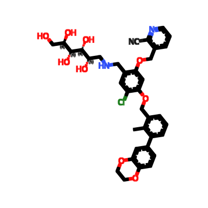 Cc1c(COc2cc(OCc3cccnc3C#N)c(CNC[C@H](O)[C@@H](O)[C@H](O)[C@H](O)CO)cc2Cl)cccc1-c1ccc2c(c1)OCCO2